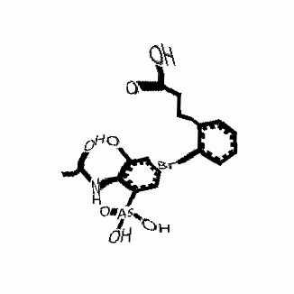 CC(=O)Nc1c(O)cccc1[As](=O)(O)O.O=C(O)CCc1ccccc1Br